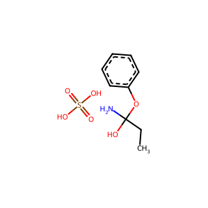 CCC(N)(O)Oc1ccccc1.O=S(=O)(O)O